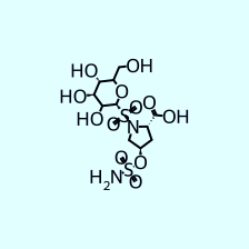 NS(=O)(=O)O[C@@H]1C[C@@H](C(=O)O)N(S(=O)(=O)[C@@H]2OC(CO)[C@@H](O)[C@H](O)C2O)C1